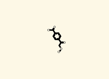 O=C(Cl)c1ccc(C(=O)COCl)cc1